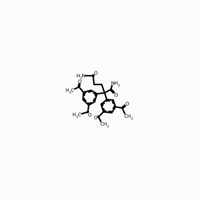 CC(=O)c1cc(C(C)=O)cc(C(CCC(N)=O)(C(N)=O)c2cc(C(C)=O)cc(C(C)=O)c2)c1